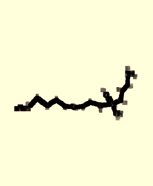 CCCCCCCCCCCCCCCCOP(=O)(O)OCCN